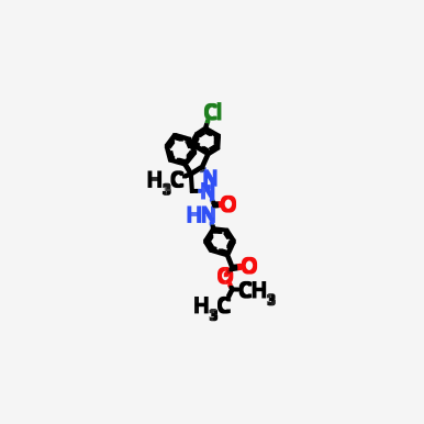 CC(C)OC(=O)c1ccc(NC(=O)N2CC(C)(c3ccccc3)C(c3ccc(Cl)cc3)=N2)cc1